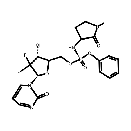 CN1CCC(N[P@@](=O)(OCC2O[C@@H](n3cccnc3=O)C(F)(F)[C@@H]2O)Oc2ccccc2)C1=O